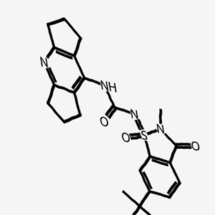 CN1C(=O)c2ccc(C(C)(C)O)cc2S1(=O)=NC(=O)Nc1c2c(nc3c1CCC3)CCC2